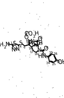 Nc1nnc(SCC2=C(OC(=O)O)N3C(=O)[C@@H]4[C@H]3C2CCN4C(=O)Nc2ccc(O)cc2)s1